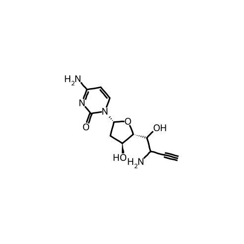 C#CC(N)C(O)[C@H]1O[C@@H](n2ccc(N)nc2=O)C[C@@H]1O